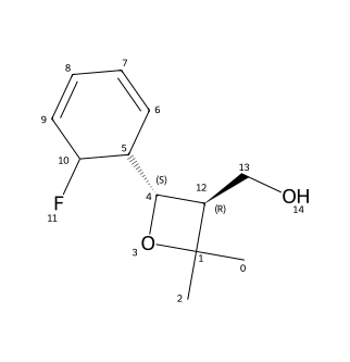 CC1(C)O[C@H](C2C=CC=CC2F)[C@H]1CO